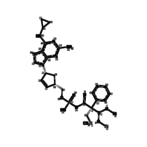 CCON(OCC)[C@@](CC(=O)O)(C(=O)OP(=O)(O)OC[C@@H]1C=C[C@H](n2cnc3c(NC4CC4)nc(N)nc32)C1)c1ccccc1